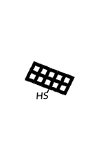 S[C@]12C3CC4CC5C6C7C8CC9CC%10C1C7(C98%10)C62C453